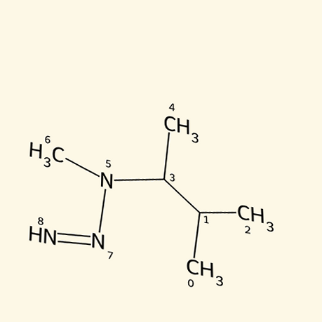 CC(C)C(C)N(C)N=N